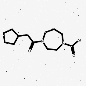 O=C(S)N1CCCN(C(=O)CC2CCCC2)CC1